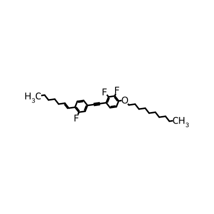 CCCCC/C=C/c1ccc(C#Cc2ccc(OCCCCCCCCCC)c(F)c2F)cc1F